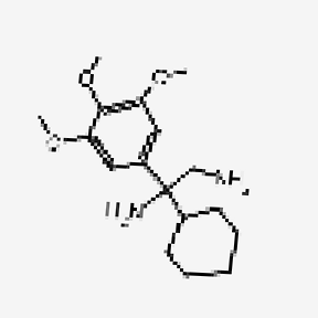 COc1cc(C(N)(CN)C2CCCCC2)cc(OC)c1OC